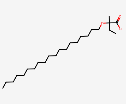 CCCCCCCCCCCCCCCCCCCOC(C)(CC)C(=O)O